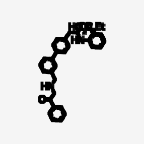 CCOC(=O)C(Cc1ccc(-c2cccc(CNCC(=O)c3ccccc3)c2)cc1)Nc1ccccc1C(=O)O